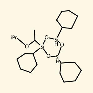 CC(C)OC(C)[Si]1(C2CCCCC2)O[SiH](C2CCCCC2)O[SiH](C2CCCCC2)O1